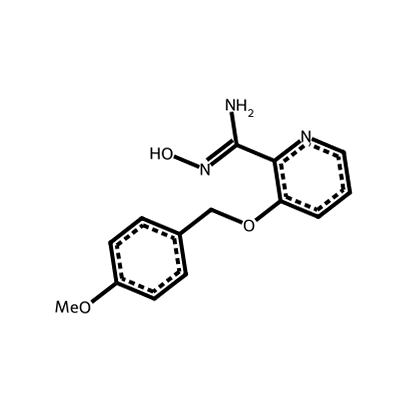 COc1ccc(COc2cccnc2C(N)=NO)cc1